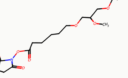 COCC(COCCCCCC(=O)ON1C(=O)CCC1=O)OC